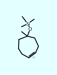 CC1(O[Si](C)(C)C)CC/C=C\CCC1